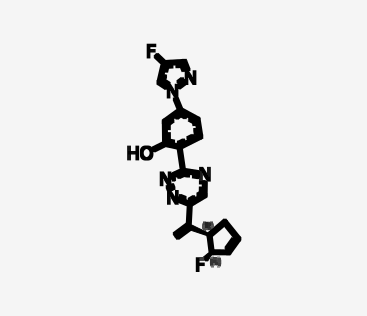 C=C(c1cnc(-c2ccc(-n3cc(F)cn3)cc2O)nn1)[C@H]1CC=C[C@H]1F